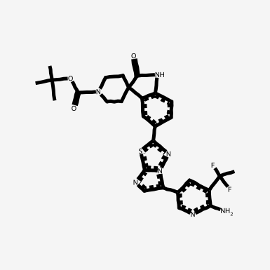 CC(C)(C)OC(=O)N1CCC2(CC1)C(=O)Nc1ccc(-c3nn4c(-c5cnc(N)c(C(C)(F)F)c5)cnc4s3)cc12